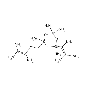 NC(N)=C(N)CC[Si]1([SiH3])O[Si](N)([SiH3])O[Si](N)(C(N)=C(N)N)O1